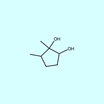 CC1CCC(O)C1(C)O